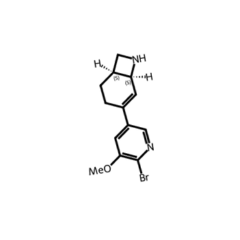 COc1cc(C2=C[C@@H]3NC[C@@H]3CC2)cnc1Br